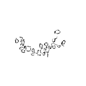 COC(=O)CNC(=O)n1ccc(OC(=O)c2cccc(C(=O)n3c(=O)c(F)cn([C@H]4C[C@H](OCc5ccccc5)[C@@H](COC(C)=O)O4)c3=O)c2)cc1=O